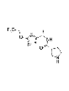 CC(NC(=O)[C@@H]1CCNC1)c1cnc(OCC(F)(F)F)s1